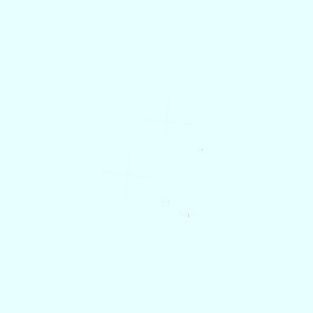 CC(C)(C)C[O-].CC(C)(C)C[O-].[Sn+2]